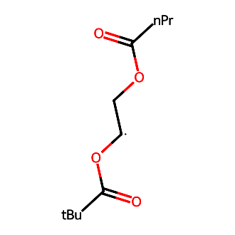 CCCC(=O)OC[CH]OC(=O)C(C)(C)C